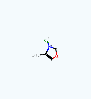 O=CC1=COCN1Cl